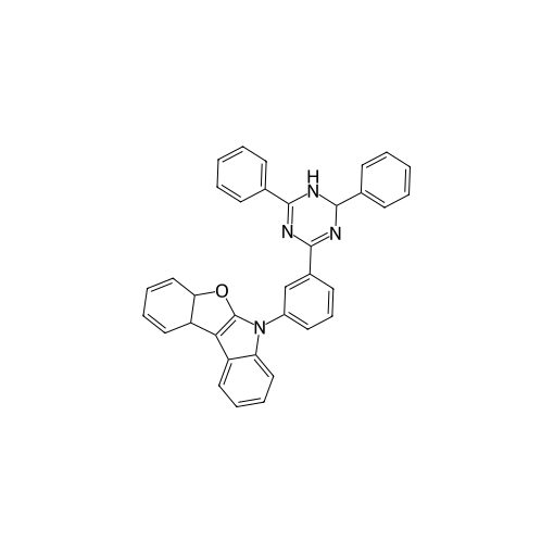 C1=CC2Oc3c(c4ccccc4n3-c3cccc(C4=NC(c5ccccc5)NC(c5ccccc5)=N4)c3)C2C=C1